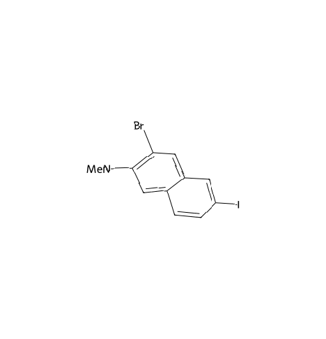 CNc1cc2ccc(I)cc2cc1Br